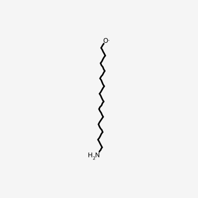 NCCCCCCCCCCCCCC[O]